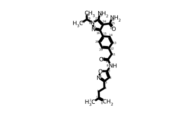 C=C(C)CCc1cc(NC(=O)Cc2ccc(-c3nn(C(C)C)c(N)c3C(N)=O)cc2)on1